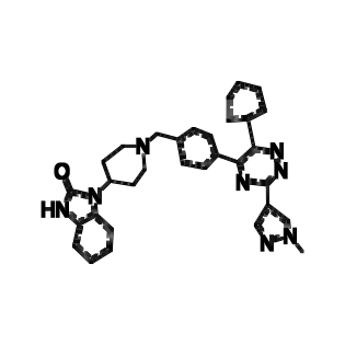 Cn1cc(-c2nnc(-c3ccccc3)c(-c3ccc(CN4CCC(n5c(=O)[nH]c6ccccc65)CC4)cc3)n2)cn1